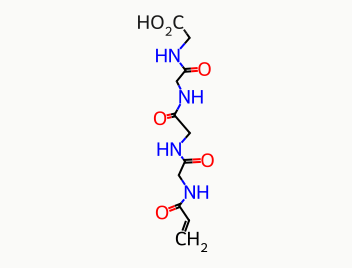 C=CC(=O)NCC(=O)NCC(=O)NCC(=O)NCC(=O)O